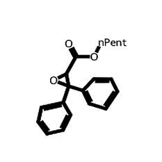 CCCCCOC(=O)C1OC1(c1ccccc1)c1ccccc1